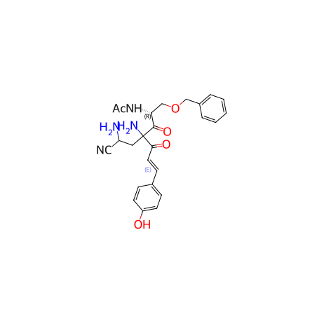 CC(=O)N[C@H](COCc1ccccc1)C(=O)C(N)(CC(N)C#N)C(=O)/C=C/c1ccc(O)cc1